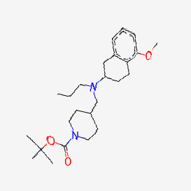 CCCN(CC1CCN(C(=O)OC(C)(C)C)CC1)C1CCc2c(cccc2OC)C1